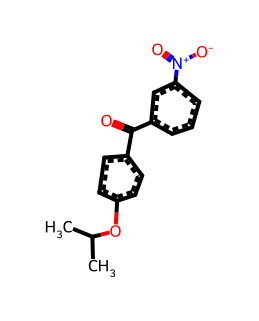 CC(C)Oc1ccc(C(=O)c2cccc([N+](=O)[O-])c2)cc1